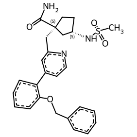 CS(=O)(=O)N[C@H]1CC[C@](Cc2cc(-c3ccccc3OCc3ccccc3)ccn2)(C(N)=O)C1